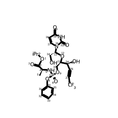 CC(C)OC(=O)[C@H](C)NP(=O)(OC[C@@H](O[C@H](CO)n1ccc(=O)[nH]c1=O)[C@@H](O)C#CC(F)(F)F)Oc1ccccc1